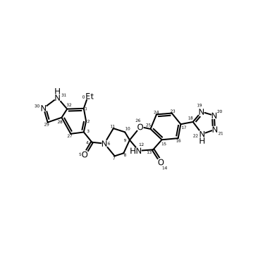 CCc1cc(C(=O)N2CCC3(CC2)NC(=O)c2cc(-c4nnn[nH]4)ccc2O3)cc2cn[nH]c12